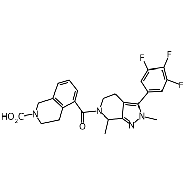 CC1c2nn(C)c(-c3cc(F)c(F)c(F)c3)c2CCN1C(=O)c1cccc2c1CCN(C(=O)O)C2